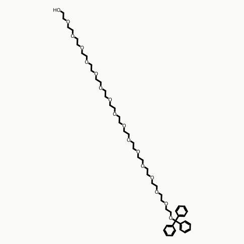 OCCOCCOCCOCCOCCOCCOCCOCCOCCOCCOCCOCCOCCOCCOCCOCCOC(c1ccccc1)(c1ccccc1)c1ccccc1